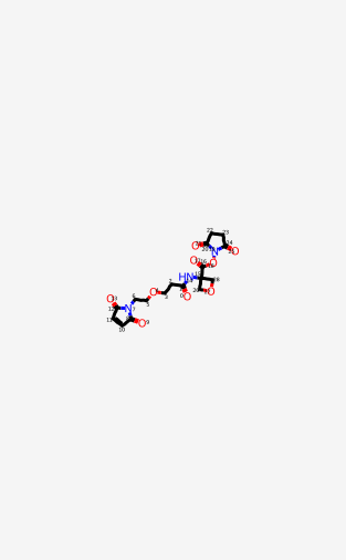 O=C(CCOCCN1C(=O)C=CC1=O)NC1(C(=O)ON2C(=O)CCC2=O)COC1